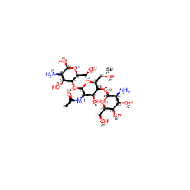 CC(=O)NC1C(OC2C(CO)OC(O)C(N)C2O)OC(CO)C(OC2OC(CO)C(O)C(O)C2N)C1O.[Au]